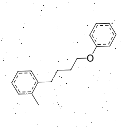 Cc1ccccc1CCCCOc1cc[c]cc1